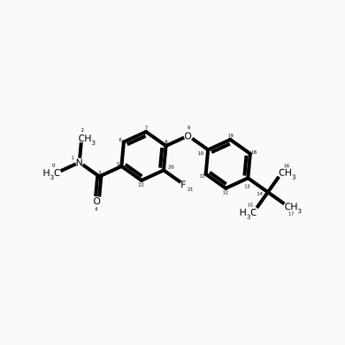 CN(C)C(=O)c1ccc(Oc2ccc(C(C)(C)C)cc2)c(F)c1